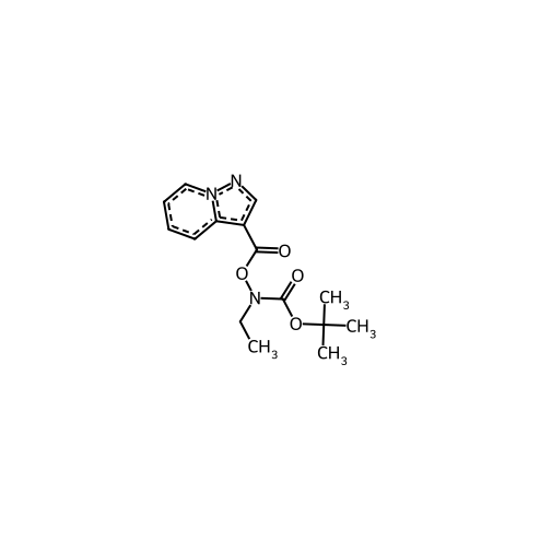 CCN(OC(=O)c1cnn2ccccc12)C(=O)OC(C)(C)C